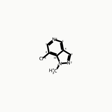 Cn1ncc2cncc(Cl)c21